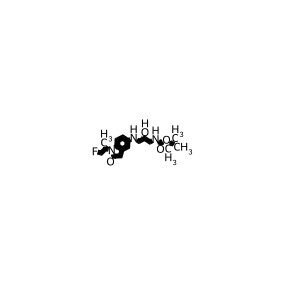 CC(CF)N1C(=O)Cc2cc(NC[C@H](O)CNC(=O)OC(C)(C)C)ccc21